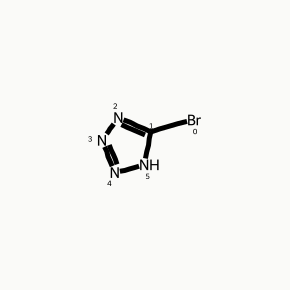 Brc1nnn[nH]1